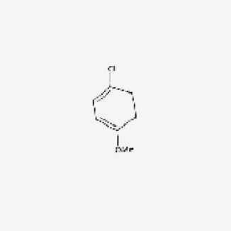 COC1=CC=C(Cl)CC1